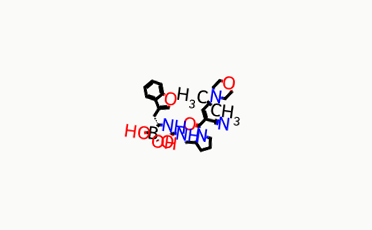 CC(C)(C=C(C#N)C(=O)N1CCCC1CNC(=O)N[C@@H](Cc1coc2ccccc12)B(O)O)N1CCOCC1